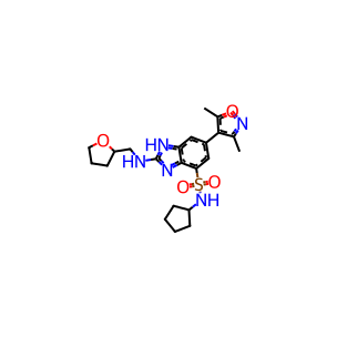 Cc1noc(C)c1-c1cc(S(=O)(=O)NC2CCCC2)c2nc(NCC3CCCO3)[nH]c2c1